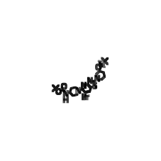 CC(C)(C)OC(=O)NC1CCN(c2nc3nc(N4CCCC(O[Si](C)(C)C(C)(C)C)C4)sc3cc2Br)CC1